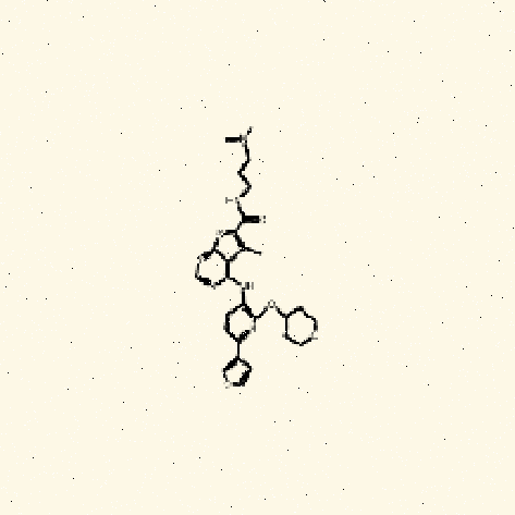 Cc1c(C(=O)NCCCN(C)C)sc2ncnc(Nc3ccc(-c4ccoc4)nc3OC3CCOCC3)c12